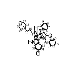 O=C1C[C@@](Sc2ccccc2)(C(=O)NCCCN2CCOCC2)[C@@H](c2c[nH]c3cc(Cl)ccc23)N1Cc1ccccc1